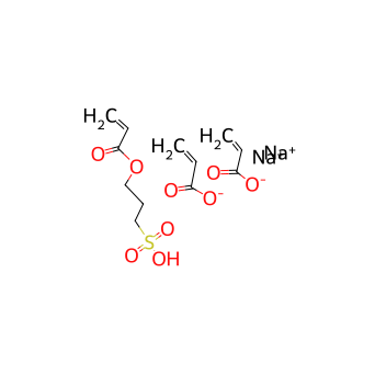 C=CC(=O)OCCCS(=O)(=O)O.C=CC(=O)[O-].C=CC(=O)[O-].[Na+].[Na+]